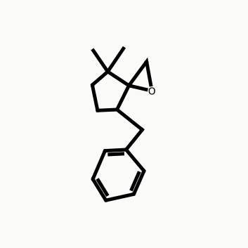 CC1(C)CCC(Cc2ccccc2)C12CO2